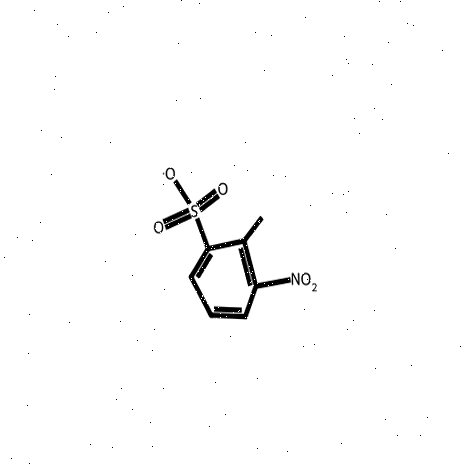 Cc1c([N+](=O)[O-])cccc1S([O])(=O)=O